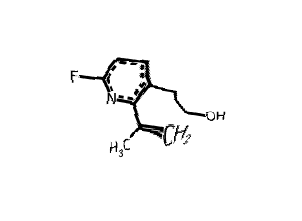 C=C(C)c1nc(F)ccc1CCO